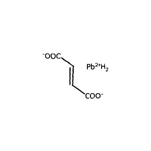 O=C([O-])/C=C/C(=O)[O-].[PbH2+2]